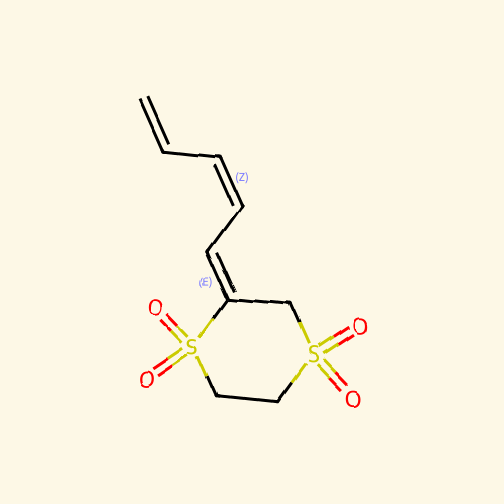 C=C/C=C\C=C1/CS(=O)(=O)CCS1(=O)=O